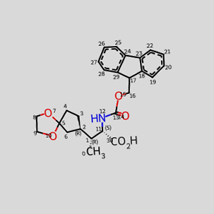 C[C@H]([C@@H]1CCC2(C1)OCCO2)[C@H](NC(=O)OCC1c2ccccc2-c2ccccc21)C(=O)O